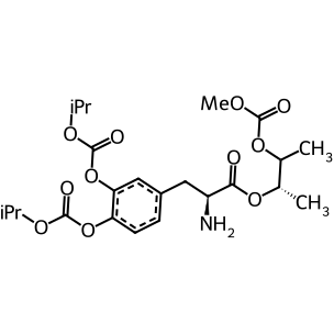 COC(=O)OC(C)[C@H](C)OC(=O)[C@@H](N)Cc1ccc(OC(=O)OC(C)C)c(OC(=O)OC(C)C)c1